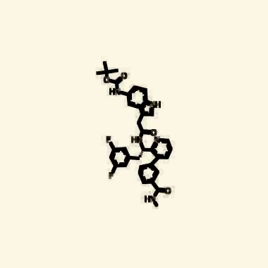 CNC(=O)c1cccc(-c2cccnc2[C@H](Cc2cc(F)cc(F)c2)NC(=O)Cc2c[nH]c3ccc(NC(=O)OC(C)(C)C)cc23)c1